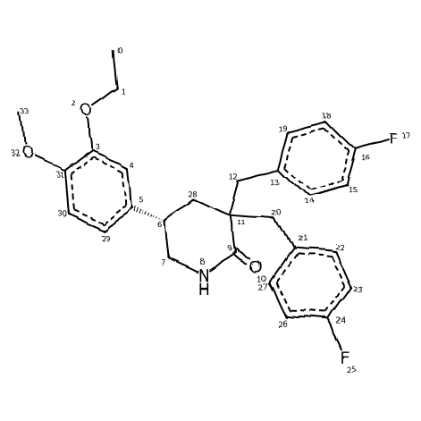 CCOc1cc([C@H]2CNC(=O)C(Cc3ccc(F)cc3)(Cc3ccc(F)cc3)C2)ccc1OC